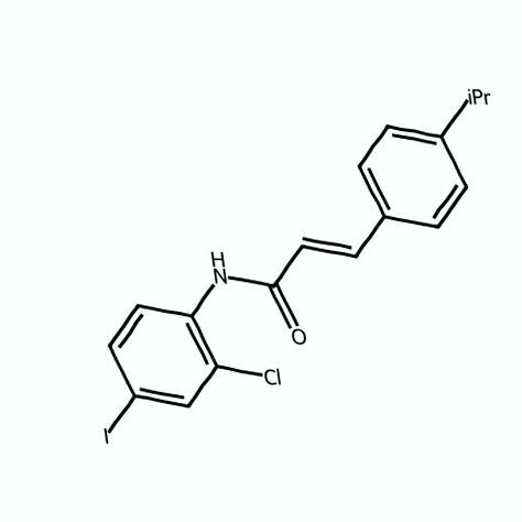 CC(C)c1ccc(C=CC(=O)Nc2ccc(I)cc2Cl)cc1